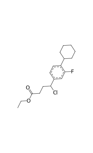 CCOC(=O)CCC(Cl)c1ccc(C2CCCCC2)c(F)c1